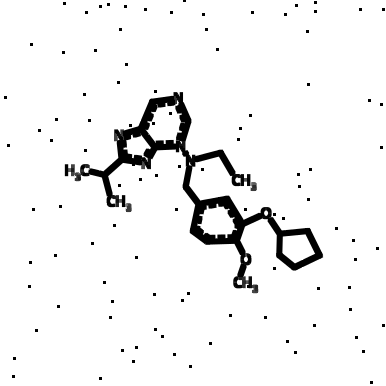 CCN(Cc1ccc(OC)c(OC2CCCC2)c1)n1cncc2nc(C(C)C)nc1-2